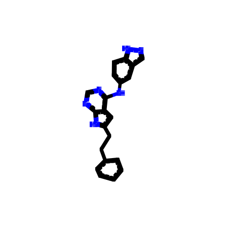 c1ccc(CCc2cc3c(Nc4ccc5[nH]ncc5c4)ncnc3[nH]2)cc1